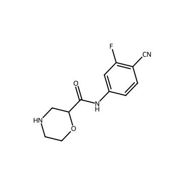 N#Cc1ccc(NC(=O)C2CNCCO2)cc1F